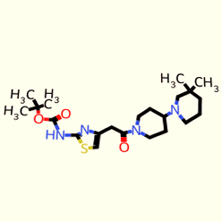 CC1(C)CCCN(C2CCN(C(=O)Cc3csc(NC(=O)OC(C)(C)C)n3)CC2)C1